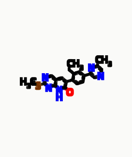 CCc1cc(-c2cncc(C)n2)ccc1-c1cc2cnc(SC)nc2[nH]c1=O